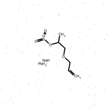 C=CCOCC(C)O[SH](=O)=O.[NaH].[PbH2]